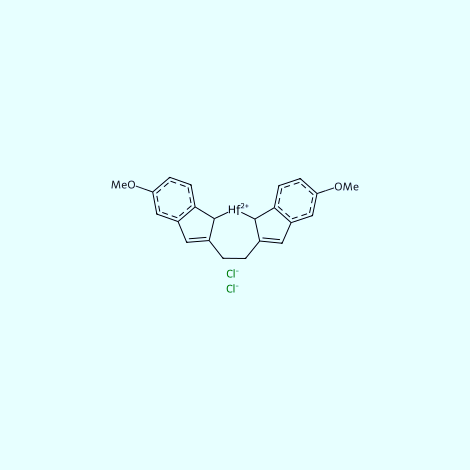 COc1ccc2c(c1)C=C1CCC3=Cc4cc(OC)ccc4[CH]3[Hf+2][CH]12.[Cl-].[Cl-]